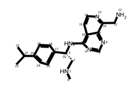 CNC[C@@H](Nc1ncnc2c(CN)nccc12)c1ccc(C(C)C)cc1